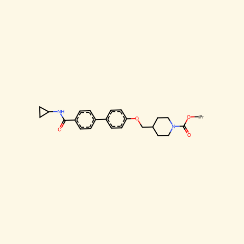 CC(C)OC(=O)N1CCC(COc2ccc(-c3ccc(C(=O)NC4CC4)cc3)cc2)CC1